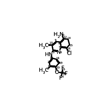 Cc1cc(Nc2nc3c(cc2C)=C(N)CCC=3Cl)ccc1OC(F)(F)F